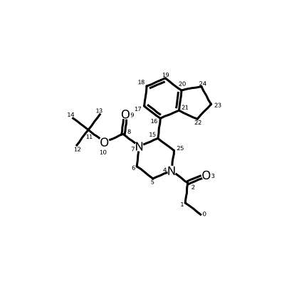 CCC(=O)N1CCN(C(=O)OC(C)(C)C)C(c2cccc3c2CCC3)C1